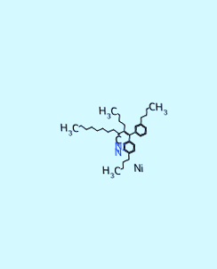 CCCCCCCCC(=C=[N+]=[N-])C(CCCC)=C(c1ccc(CCCC)cc1)c1cccc(CCCC)c1.[Ni]